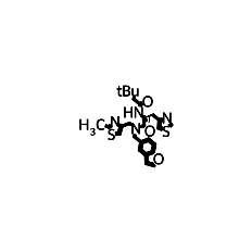 Cc1nc(CN(Cc2ccc3occc3c2)C(=O)[C@H](Cc2cscn2)NC(=O)CC(C)(C)C)cs1